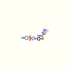 Nc1nc(C(=O)Nc2cc(N3CCN(S(=O)(=O)C4CCNCC4)CC3)ccc2Br)co1